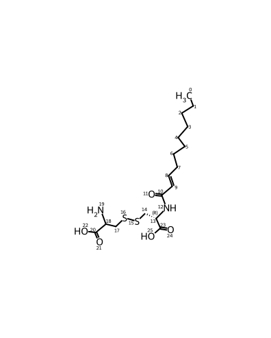 CCCCCCCCC=CC(=O)N[C@@H](CSSCC(N)C(=O)O)C(=O)O